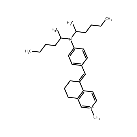 CCCCC(C)N(c1ccc(/C=C2\CCCc3c[n+](C)ccc32)cc1)C(C)CCCC